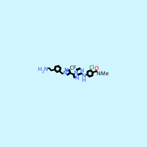 CNC(=O)c1ccc(Nc2nccn3c(-c4cn(Cc5cccc(CCN)c5)nc4C(F)(F)F)cnc23)cc1Cl